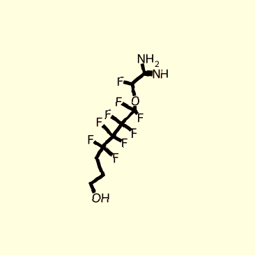 N=C(N)C(F)OC(F)(F)C(F)(F)C(F)(F)C(F)(F)CCCO